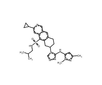 Cc1cc(Nc2nncn2C2CCc3cc4cnc(C5CC5)cc4c(S(=O)(=O)NCC(C)C)c3C2)n(C)n1